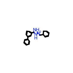 NC(NN=CC1C=CC=CC1)c1cccc(-c2ccccc2)c1